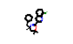 CC1(C)C[C@](C)(Cc2ccccc2)N=C(c2cnc3c(F)cccc3c2)O1